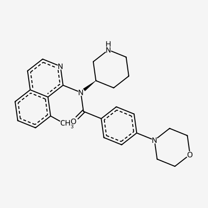 Cc1cccc2ccnc(N(C(=O)c3ccc(N4CCOCC4)cc3)[C@@H]3CCCNC3)c12